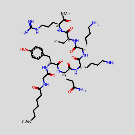 CCCCCCCCCCCCCCCC(=O)NCC(=O)N[C@@H](Cc1ccc(O)cc1)C(=O)N[C@@H](CCC(N)=O)C(=O)N[C@@H](CCCCN)C(=O)N[C@@H](CCCCN)C(=O)N[C@@H](CC(C)C)C(=O)N[C@@H](CCCNC(=N)N)C(=O)NC